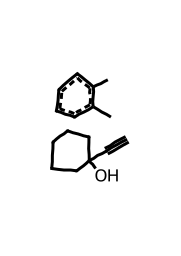 C#CC1(O)CCCCC1.Cc1ccccc1C